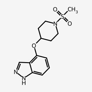 CS(=O)(=O)N1CCC(Oc2cccc3[nH]ncc23)CC1